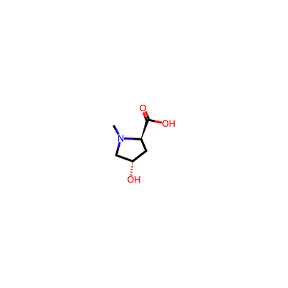 CN1C[C@@H](O)C[C@@H]1C(=O)O